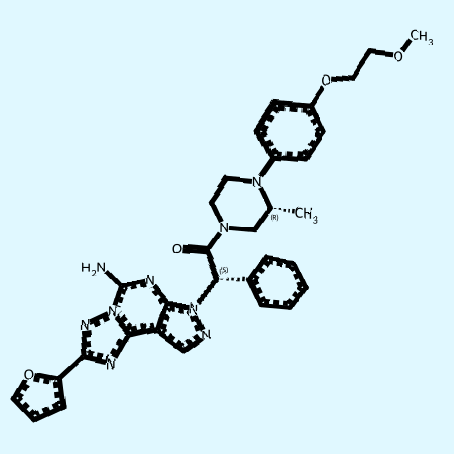 COCCOc1ccc(N2CCN(C(=O)[C@H](c3ccccc3)n3ncc4c3nc(N)n3nc(-c5ccco5)nc43)C[C@H]2C)cc1